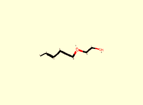 CC=CCCOCCO